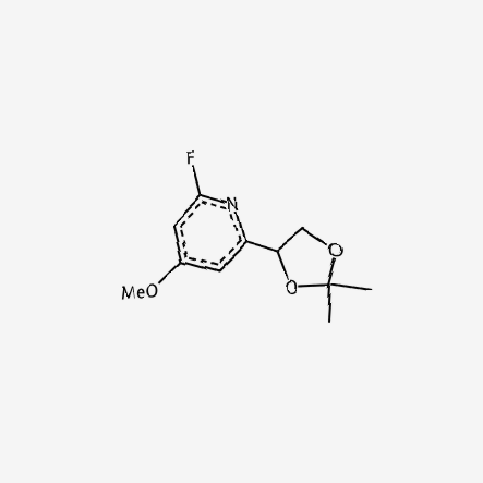 COc1cc(F)nc(C2COC(C)(C)O2)c1